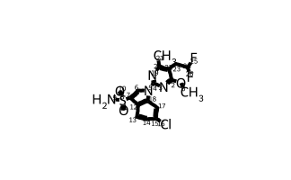 COc1nc(-n2cc(S(N)(=O)=O)c3ccc(Cl)cc32)nc(C)c1CC(F)F